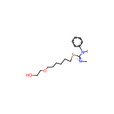 C/N=C(/SCCCCCCOCCO)N(I)c1ccccc1